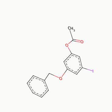 CC(=O)Oc1cc(I)cc(OCc2ccccc2)c1